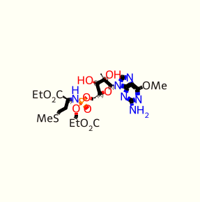 CCOC(=O)COP(=O)(N[C@@H](CCSC)C(=O)OCC)OC[C@H]1O[C@@H](n2cnc3c(OC)nc(N)nc32)[C@](C)(O)[C@@H]1O